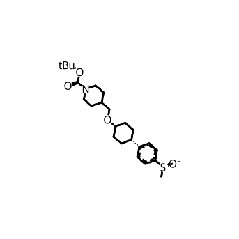 C[S+]([O-])c1ccc([C@H]2CC[C@H](OCC3CCN(C(=O)OC(C)(C)C)CC3)CC2)cc1